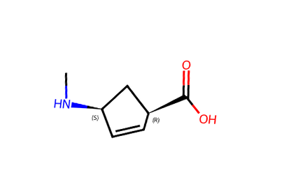 CN[C@@H]1C=C[C@H](C(=O)O)C1